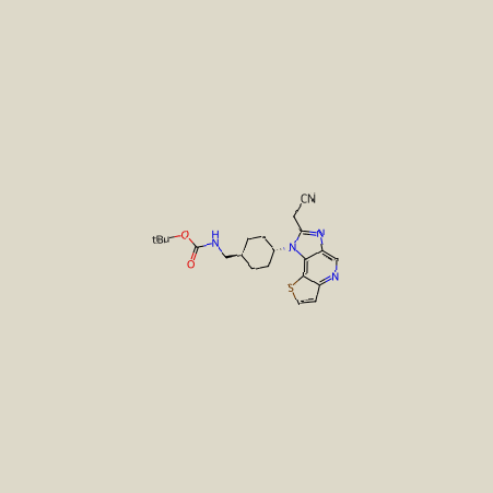 CC(C)(C)OC(=O)NC[C@H]1CC[C@H](n2c(CC#N)nc3cnc4ccsc4c32)CC1